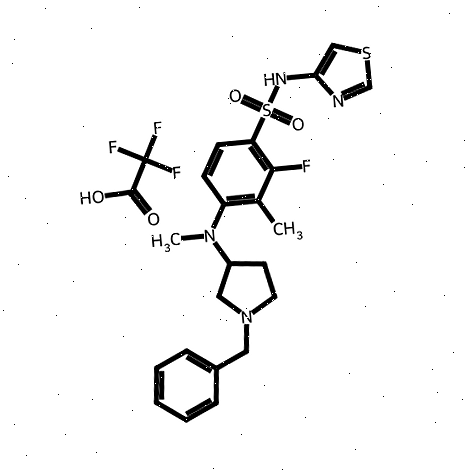 Cc1c(N(C)C2CCN(Cc3ccccc3)C2)ccc(S(=O)(=O)Nc2cscn2)c1F.O=C(O)C(F)(F)F